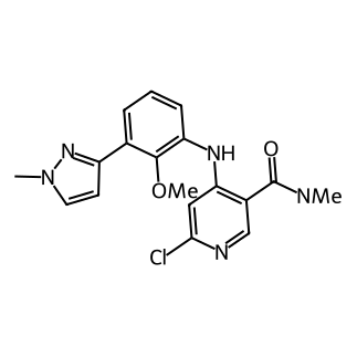 CNC(=O)c1cnc(Cl)cc1Nc1cccc(-c2ccn(C)n2)c1OC